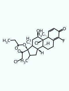 CCC(=O)O[C@]1(C(=O)CCl)C(C)C[C@H]2[C@@H]3CCC4=C(F)C(=O)C=C[C@]4(C)[C@@]3(Cl)C(O)C[C@@]21C